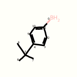 Bc1ccc(C(C)(C)C)cc1